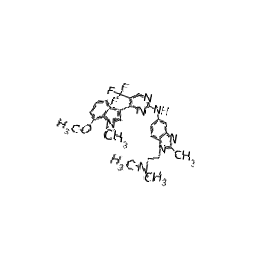 COc1cccc2c(-c3nc(Nc4ccc5c(c4)nc(C)n5CCN(C)C)ncc3C(F)(F)F)cn(C)c12